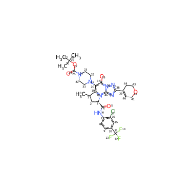 C[C@@H]1C[C@H](C(=O)Nc2ccc(C(F)(F)F)cc2Cl)n2c1c(N1CCN(C(=O)OC(C)(C)C)CC1)c(=O)n1nc(C3=CCOCC3)nc21